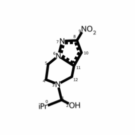 CC(C)C(O)N1CCn2nc([N+](=O)[O-])cc2C1